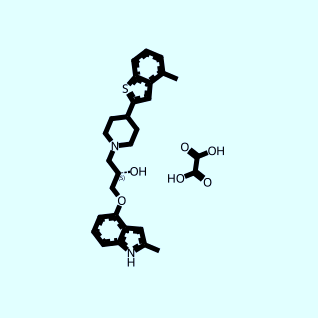 Cc1cc2c(OC[C@@H](O)CN3CCC(c4cc5c(C)cccc5s4)CC3)cccc2[nH]1.O=C(O)C(=O)O